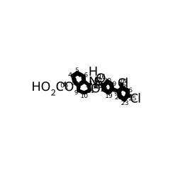 O=C(O)COc1cccc2c1CCC[C@H]2NS(=O)(=O)c1ccc(-c2ccc(Cl)cc2Cl)cc1